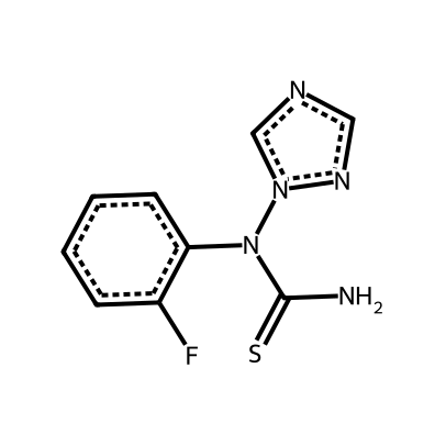 NC(=S)N(c1ccccc1F)n1cncn1